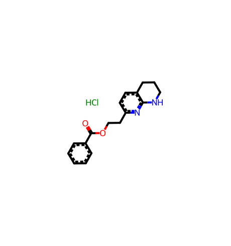 Cl.O=C(OCCc1ccc2c(n1)NCCC2)c1ccccc1